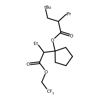 CCC(C(=O)OCC(F)(F)F)C1(OC(=O)C(CC(C)(C)C)C(C)C)CCCC1